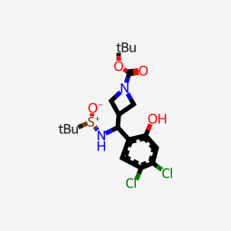 CC(C)(C)OC(=O)N1CC(C(N[S+]([O-])C(C)(C)C)c2cc(Cl)c(Cl)cc2O)C1